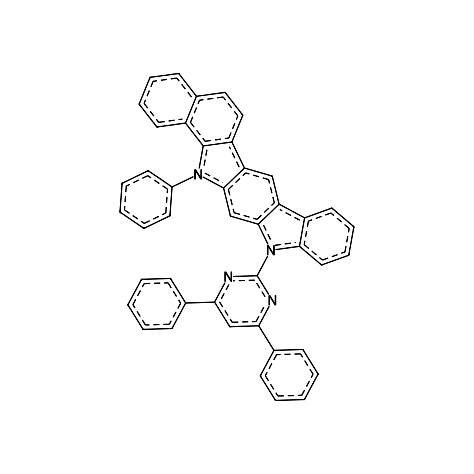 c1ccc(-c2cc(-c3ccccc3)nc(-n3c4ccccc4c4cc5c6ccc7ccccc7c6n(-c6ccccc6)c5cc43)n2)cc1